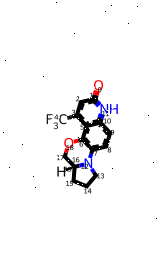 O=c1cc(C(F)(F)F)c2c3c(ccc2[nH]1)N1CCC[C@@H]1CO3